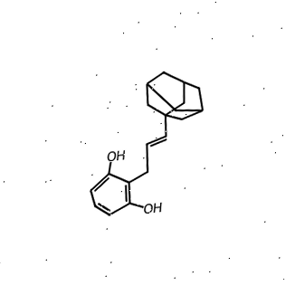 Oc1cccc(O)c1CC=CC12CC3CC(CC(C3)C1)C2